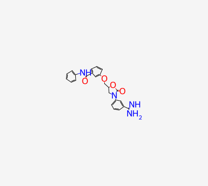 N=C(N)c1cccc(N2CC(COc3cccc(C(=O)Nc4ccccc4)c3)OC2=O)c1